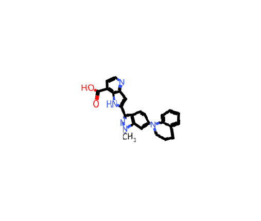 Cn1nc(-c2cc3nccc(C(=O)O)c3[nH]2)c2ccc(N3CCCc4ccccc43)cc21